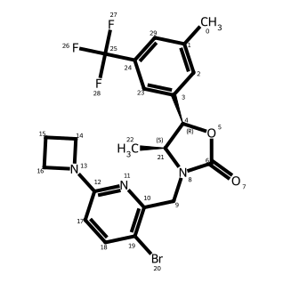 Cc1cc([C@H]2OC(=O)N(Cc3nc(N4CCC4)ccc3Br)[C@H]2C)cc(C(F)(F)F)c1